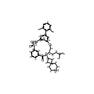 Cc1cccc(C)c1-c1cc2nc(n1)NS(=O)(=O)c1cccc(c1)C(=O)N(C1CC3(CCNCC3)C1)[C@H](CCC(C)C)CO2